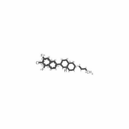 CCCC[C@@H]1CC[C@@H]2CC(c3ccc4c(F)c(Cl)c(F)cc4c3)CCC2C1